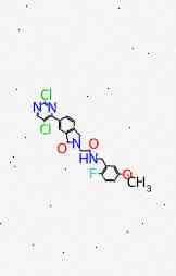 COc1ccc(F)c(CNC(=O)CN2Cc3ccc(-c4nc(Cl)ncc4Cl)cc3C2=O)c1